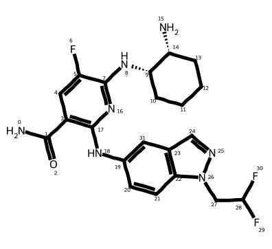 NC(=O)c1cc(F)c(N[C@H]2CCCC[C@H]2N)nc1Nc1ccc2c(cnn2CC(F)F)c1